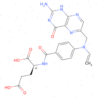 C=CN(Cc1cnc2[nH]c(N)nc(=O)c2n1)c1ccc(C(=O)N[C@@H](CCC(=O)O)C(=O)O)cc1